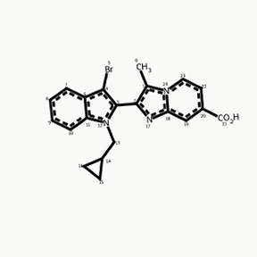 Cc1c(-c2c(Br)c3ccccc3n2CC2CC2)nc2cc(C(=O)O)ccn12